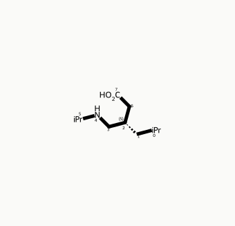 CC(C)C[C@H](CNC(C)C)CC(=O)O